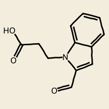 O=Cc1cc2ccccc2n1CCC(=O)O